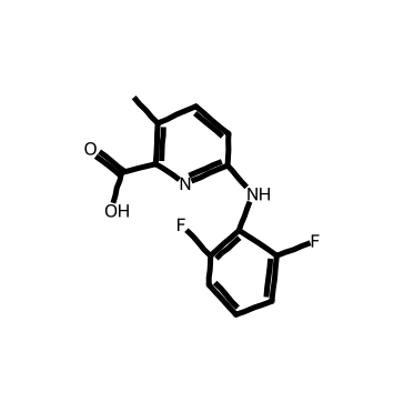 Cc1ccc(Nc2c(F)cccc2F)nc1C(=O)O